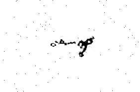 CCN(Cc1cc(C(=O)OCCCCCNC(=O)Cc2c(C)n(C(=O)c3ccc(Cl)cc3)c3ccc(OC)cc23)cc(Br)c1N)C1CCCCC1